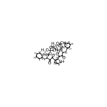 CC(C)(C)ONC(Cc1ccccc1)C(=O)C(=O)C1=C(C(=O)C(=O)C(Cc2ccccc2)NOC(C)(C)C)[SH]C=N1